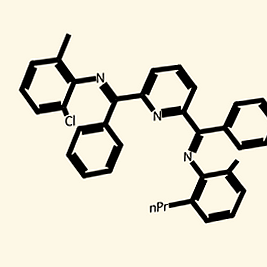 CCCc1cccc(C)c1/N=C(\c1ccccc1)c1cccc(/C(=N/c2c(C)cccc2Cl)c2ccccc2)n1